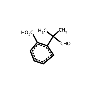 CC(C)(C=O)c1ccccc1C(=O)O